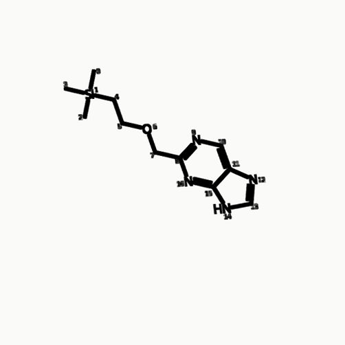 C[Si](C)(C)CCOCc1ncc2nc[nH]c2n1